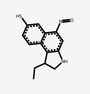 CCC1CNc2cc(N=O)c3cc(S)ccc3c21